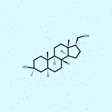 C[C@]1(O)CC[C@@]2(C)[C@@H](CC[C@@H]3[C@@H]2CC[C@]2(C)[C@@H](CO)CC[C@@H]32)C1